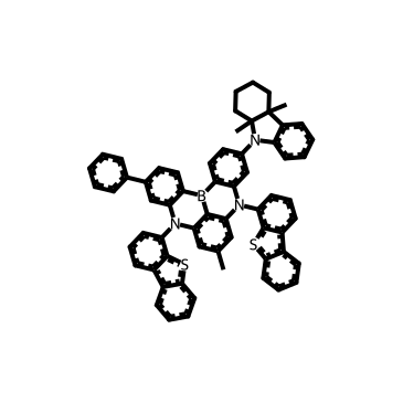 Cc1cc2c3c(c1)N(c1cccc4c1sc1ccccc14)c1cc(N4c5ccccc5C5(C)CCCCC45C)ccc1B3c1ccc(-c3ccccc3)cc1N2c1cccc2c1sc1ccccc12